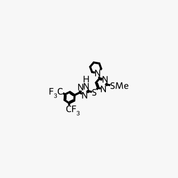 CSc1nc(Sc2nc(-c3cc(C(F)(F)F)cc(C(F)(F)F)c3)n[nH]2)cc(N2CCCCC2)n1